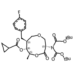 C[C@@H]1OC(=O)[C@@H](N(C(=O)OC(C)(C)C)C(=O)OC(C)(C)C)COC[C@H](Cc2ccc(F)cc2)[C@H]1OC(=O)C1CC1